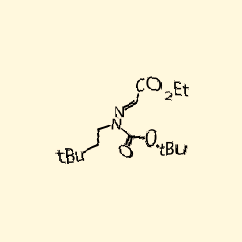 CCOC(=O)C=NN(CCC(C)(C)C)C(=O)OC(C)(C)C